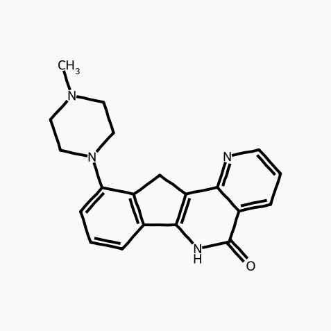 CN1CCN(c2cccc3c2Cc2c-3[nH]c(=O)c3cccnc23)CC1